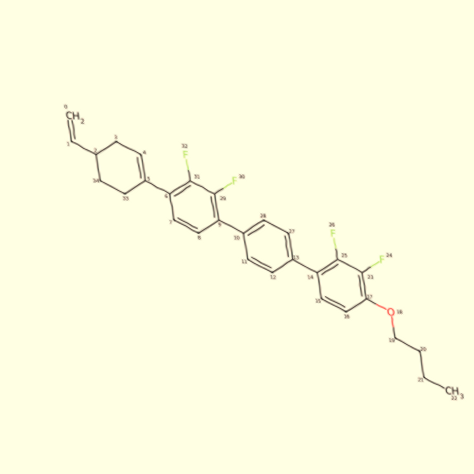 C=CC1CC=C(c2ccc(-c3ccc(-c4ccc(OCCCC)c(F)c4F)cc3)c(F)c2F)CC1